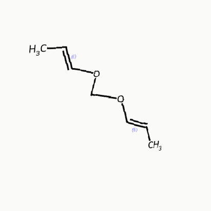 C/C=C/OCO/C=C/C